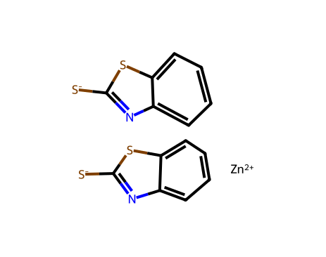 [S-]c1nc2ccccc2s1.[S-]c1nc2ccccc2s1.[Zn+2]